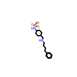 CC(C)S(=O)(=O)NC1CCC(CNCCCCc2ccccc2)CC1